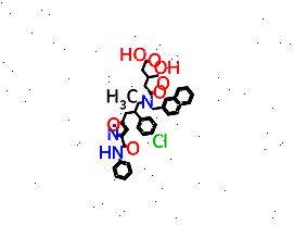 CC(C(Cc1cc(C(=O)Nc2ccccc2)no1)c1ccc(Cl)cc1)N(Cc1ccc2ccccc2c1)C(=O)CC(CC(=O)O)C(=O)O